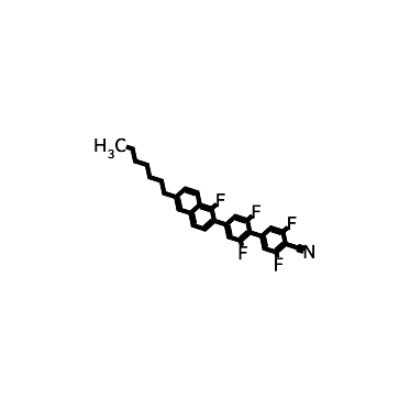 CCCCCCCc1ccc2c(F)c(-c3cc(F)c(-c4cc(F)c(C#N)c(F)c4)c(F)c3)ccc2c1